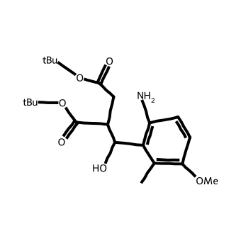 COc1ccc(N)c(C(O)C(CC(=O)OC(C)(C)C)C(=O)OC(C)(C)C)c1C